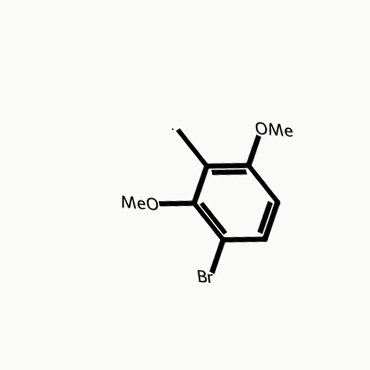 [CH2]c1c(OC)ccc(Br)c1OC